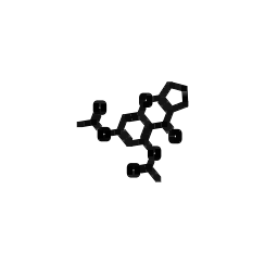 CC(=O)Oc1cc(OC(C)=O)c2c(=O)c3c(oc2c1)CCC3